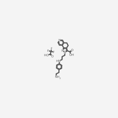 NCCc1ccc(NCCCn2nc3c(c2C(=O)O)CCc2cnccc2-3)cc1.O=C(O)C(F)(F)F